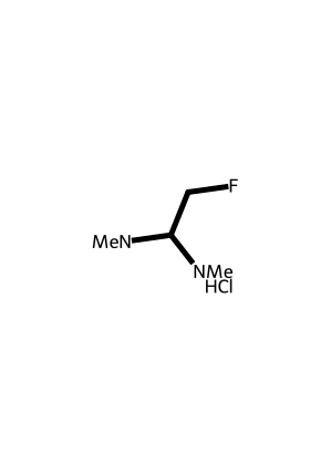 CNC(CF)NC.Cl